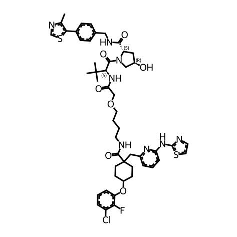 Cc1ncsc1-c1ccc(CNC(=O)[C@@H]2C[C@@H](O)CN2C(=O)[C@@H](NC(=O)COCCCCNC(=O)C2(Cc3cccc(Nc4nccs4)n3)CCC(Oc3cccc(Cl)c3F)CC2)C(C)(C)C)cc1